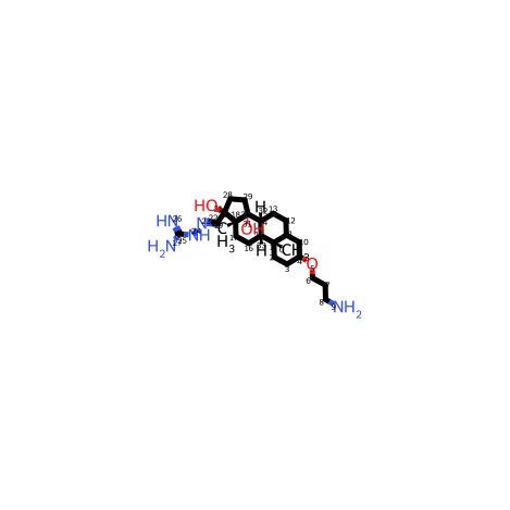 C[C@]12CCC(OCCCN)CC1CC[C@@H]1[C@H]2CC[C@]2(C)C(O)(/C=N/NC(=N)N)CC[C@@]12O